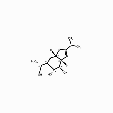 C[C@@H](O)[C@H]1C[C@@H]2SC(N(C)C)=N[C@@H]2[C@@H](O)[C@@H]1O